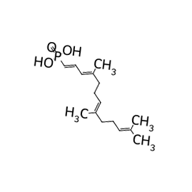 CC(C)=CCCC(C)=CCCC(C)=CC=CP(=O)(O)O